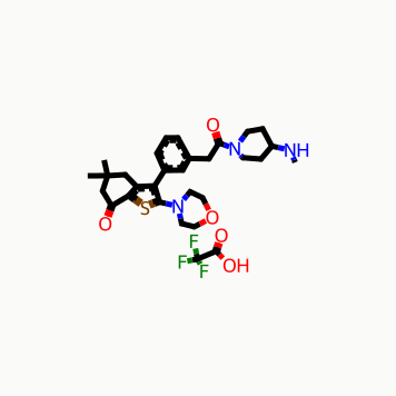 CNC1CCN(C(=O)Cc2cccc(-c3c(N4CCOCC4)sc4c3CC(C)(C)CC4=O)c2)CC1.O=C(O)C(F)(F)F